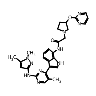 Cc1cnc(Nc2cc(C)n(C)n2)nc1-c1c[nH]c2c(NC(=O)CN3CCC(Oc4ncccn4)C3)cccc12